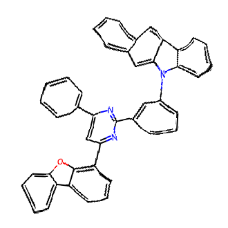 c1ccc(-c2cc(-c3cccc4c3oc3ccccc34)nc(-c3cccc(-n4c5ccccc5c5cc6ccccc6cc54)c3)n2)cc1